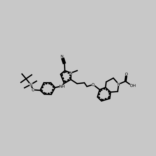 Cn1c(C#N)cc(Nc2ccc(O[Si](C)(C)C(C)(C)C)cc2)c1CCCOc1cccc2c1CCN(C(=O)O)C2